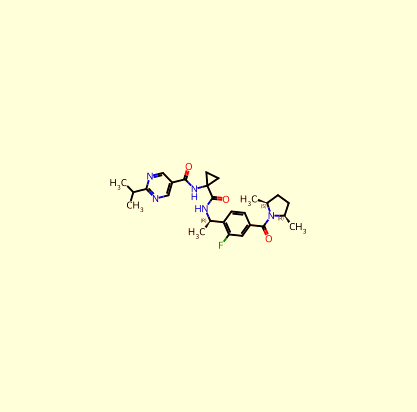 CC(C)c1ncc(C(=O)NC2(C(=O)N[C@H](C)c3ccc(C(=O)N4[C@H](C)CC[C@@H]4C)cc3F)CC2)cn1